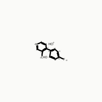 Cl.O=Cc1cnccc1-c1ccc(F)cc1